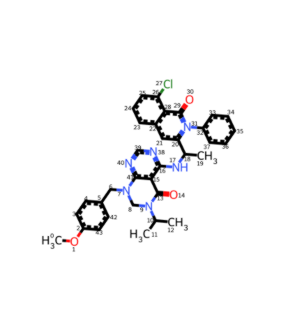 COc1ccc(CN2CN(C(C)C)C(=O)c3c(NC(C)c4cc5cccc(Cl)c5c(=O)n4-c4ccccc4)ncnc32)cc1